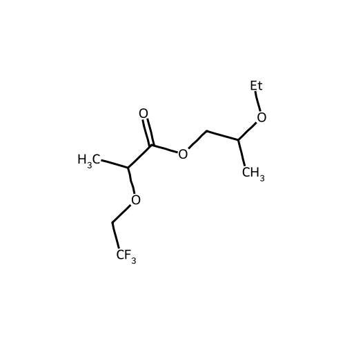 CCOC(C)COC(=O)C(C)OCC(F)(F)F